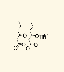 CCCC(=O)CC(=O)[O-].CCCC(=O)CC(=O)[O-].[Ti+4].[Ti+4]